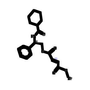 CC(C)OC(=O)/C=C/C(=O)OC[C@H](NC(=O)C1CCCCC1)c1ccccc1